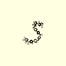 C[C@@H]1CN(c2ccc(NC3CCC(=O)NC3=O)cc2F)CCN1CC1CCN(C(=O)c2ccc(C3CCN([C@@H](C)c4cc5c(-n6ccc7c(c6=O)CCN7)ccnc5n4C)CC3)cc2)CC1